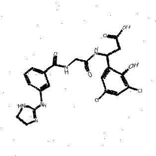 O=C(O)CC(NC(=O)CNC(=O)c1cccc(NC2=NCCN2)c1)c1cc(Cl)cc(Cl)c1O